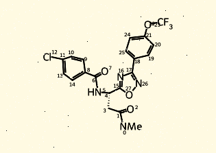 CNC(=O)C[C@H](NC(=O)c1ccc(Cl)cc1)c1nc(-c2ccc(OC(F)(F)F)cc2)no1